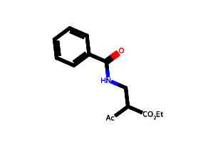 CCOC(=O)C(CNC(=O)c1ccccc1)C(C)=O